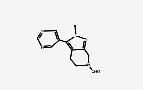 Cn1nc2c(c1-c1cncnc1)CCN(C=O)C2